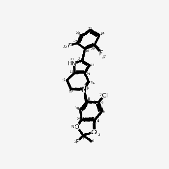 CC1(F)Oc2cc(Cl)c(N3CCc4[nH]c(-c5c(F)cccc5F)cc4C3)cc2O1